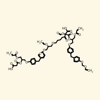 C=COCOc1ccc(Cc2ccc(OCC(COC(=O)C=C)OC(=O)C(OC=O)(C(=O)O)C(=O)CCCCOCC(COc3ccc(Cc4ccc(OCC(COC(=O)C=C)OC(=O)CC(=O)O)cc4)cc3)OC=C)cc2)cc1